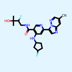 CC(C)(O)C(F)CNC(=O)c1cnc(-c2cnc3cc(C#N)cnn23)cc1NC1CCC(F)C1